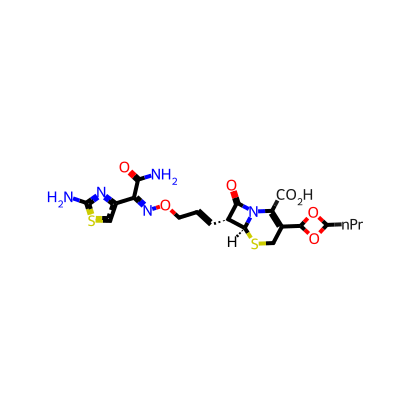 CCCC1OC(C2=C(C(=O)O)N3C(=O)[C@@H](C=CCO/N=C(\C(N)=O)c4csc(N)n4)[C@@H]3SC2)O1